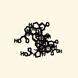 C[C@]12C[C@H](O)[C@H]3[C@@H](CCC4=CC(=O)CC(OC(=O)C(C5CC(=O)C=C6CC[C@@H]7[C@H]([C@@H](O)C[C@]8(C)[C@@H](C(=O)CO)CC[C@@H]78)[C@]65C)C5CC(=O)C=C6CC[C@@H]7[C@H]([C@@H](O)C[C@@]8(C)[C@H]7CC[C@]8(O)C(=O)CO)[C@]65C)[C@@]43C)[C@@H]1CC[C@@H]2C(=O)CO